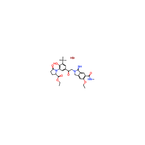 Br.CCOC(=O)C1CCC(=O)N1c1cc(C(=O)CN2Cc3cc(OCC)c(C(=O)NC)cc3C2=N)cc(C(C)(C)C)c1O